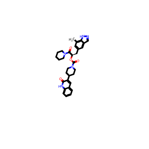 Cc1cc(C[C@@H](OC(=O)N2CCC(c3cc4ccccc4[nH]c3=O)CC2)C(=O)N2CCCCC2)cc2cn[nH]c12